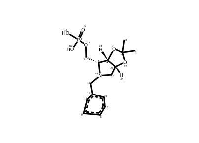 CC1(C)O[C@H]2[C@@H](COP(=O)(O)O)N(Cc3ccccc3)C[C@H]2O1